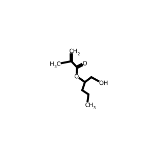 C=C(C)C(=O)OC(CO)CCC